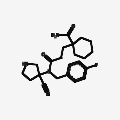 N#CC1(N(Cc2ccc(F)cc2)C(=O)[CH]CC2(C(N)=O)CCCCC2)CCNC1